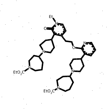 CCOC(=O)N1CCCC(N2CCC(c3cccnc3OCCc3ccn(CC)c(=O)c3C3CCN(C4CCCN(C(=O)OCC)CC4)CC3)CC2)CC1